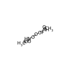 CSOCC(=O)NCCOCCOCCOCC(F)CNC(C)=O